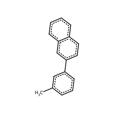 Cc1[c]c(-c2ccc3ccccc3c2)ccc1